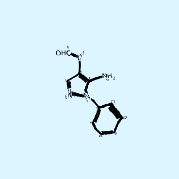 Nc1c(OC=O)cnn1-c1ccccc1